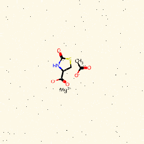 CC(=O)[O-].O=C1NC(C(=O)[O-])CS1.[Mg+2]